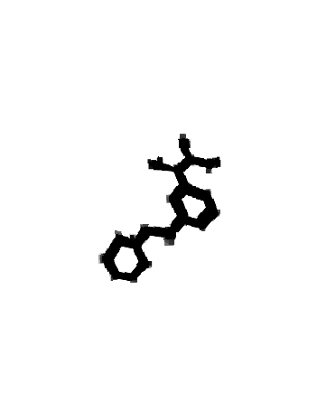 CC[C@@H](O)[C@H](O)c1cccc(OCC2CCCCC2)c1